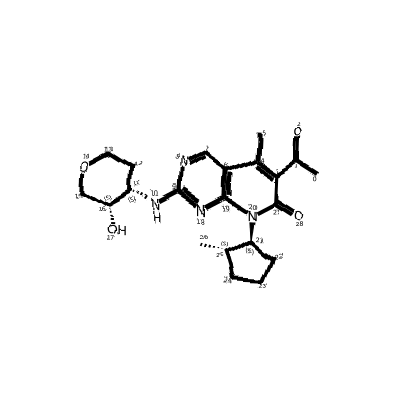 CC(=O)c1c(C)c2cnc(N[C@H]3CCOC[C@H]3O)nc2n([C@H]2CCC[C@@H]2C)c1=O